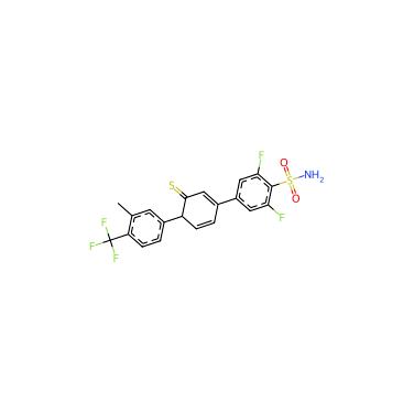 Cc1cc(C2C=CC(c3cc(F)c(S(N)(=O)=O)c(F)c3)=CC2=S)ccc1C(F)(F)F